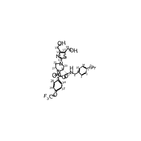 CCCc1ccc(CNC(=O)[C@H]2CN(c3nc(CO)c(CO)s3)CCN2S(=O)(=O)c2ccc(OC(F)(F)F)cc2)cc1